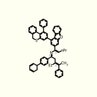 CCC/C=C(/N=C(\C/C(CC)=C(\C)c1ccccc1)c1ccc(C2C=CC=CC2)cc1)c1cc(-c2cc3c(c(-c4ccccc4)c2)-c2ccccc2CS3)c2c(c1)oc1ccccc12